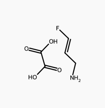 NCC=CF.O=C(O)C(=O)O